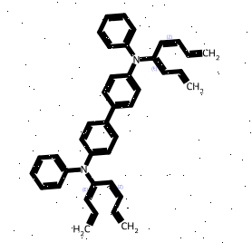 C=C/C=C\C(=C/C=C)N(c1ccccc1)c1ccc(-c2ccc(N(C(/C=C\C=C)=C/C=C)c3ccccc3)cc2)cc1